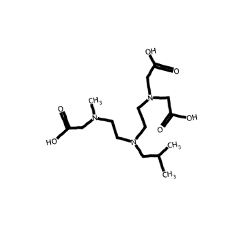 CC(C)CN(CCN(C)CC(=O)O)CCN(CC(=O)O)CC(=O)O